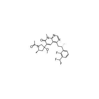 COC1(c2cc3c(C[C@H](C)c4cccc(C(F)F)c4F)ncnc3n(C)c2=O)C[C@@H](C)N(C(C)=O)C1